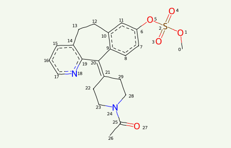 COS(=O)(=O)Oc1ccc2c(c1)CCc1cccnc1C2=C1CCN(C(C)=O)CC1